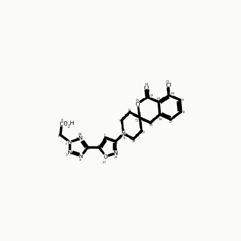 O=C(O)Cn1nnc(-c2cc(N3CCC4(CC3)Cc3cccc(Cl)c3C(=O)O4)no2)n1